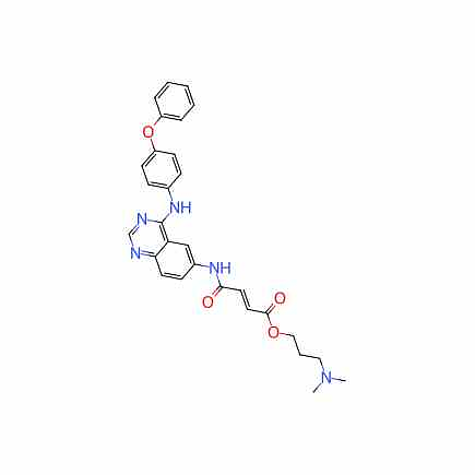 CN(C)CCCOC(=O)C=CC(=O)Nc1ccc2ncnc(Nc3ccc(Oc4ccccc4)cc3)c2c1